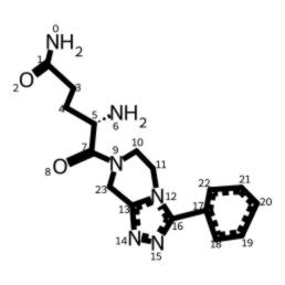 NC(=O)CC[C@H](N)C(=O)N1CCn2c(nnc2-c2ccccc2)C1